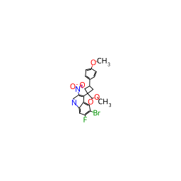 COC(=O)C1(c2c([N+](=O)[O-])cnc3cc(F)c(Br)cc23)CC(c2ccc(OC)cc2)C1